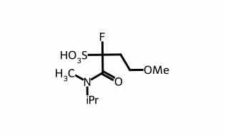 COCCC(F)(C(=O)N(C)C(C)C)S(=O)(=O)O